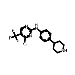 FC(F)(F)c1cnc(Nc2ccc(C3CCNCC3)cc2)nc1Cl